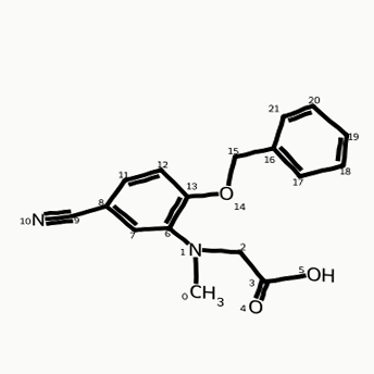 CN(CC(=O)O)c1cc(C#N)ccc1OCc1ccccc1